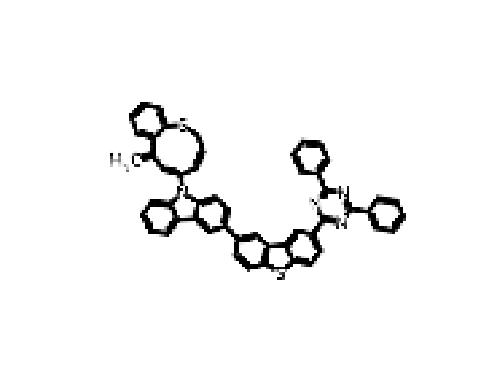 C=C1/C=C(n2c3ccccc3c3cc(-c4ccc5sc6ccc(-c7nc(-c8ccccc8)nc(-c8ccccc8)n7)cc6c5c4)ccc32)\C=C/CSc2ccccc21